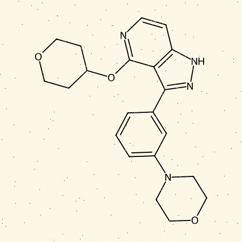 c1cc(-c2n[nH]c3ccnc(OC4CCOCC4)c23)cc(N2CCOCC2)c1